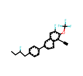 C#Cc1c(OC(F)(F)F)c(F)cc2cc(-c3ccc(CC(F)CC)cc3)ccc12